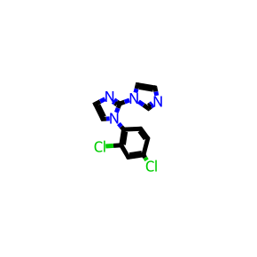 Clc1ccc(-n2ccnc2-n2ccnc2)c(Cl)c1